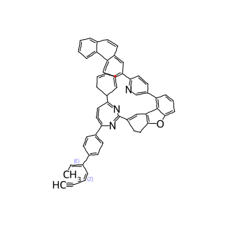 C#C/C=C\C(=C/C)c1ccc(C2=C=CC(C3C=CC=CC3)=NC(C3=Cc4c(oc5cccc(-c6ccc(-c7ccc8c(ccc9ccccc98)c7)nc6)c45)CC3)=N2)cc1